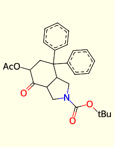 CC(=O)OC1CC(c2ccccc2)(c2ccccc2)C2CN(C(=O)OC(C)(C)C)CC2C1=O